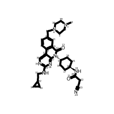 CN1CCN(Cc2ccc3c(c2)c(=O)n([C@H]2CC[C@H](NC(=O)CC#N)CC2)c2nc(NCC4CC4)ncc32)CC1